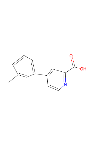 Cc1cccc(-c2ccnc(C(=O)O)c2)c1